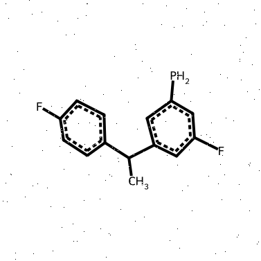 CC(c1ccc(F)cc1)c1cc(F)cc(P)c1